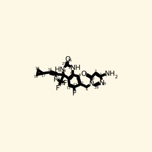 Nc1cc(=O)n(Cc2cc3c(cc2F)C(C#CC2CC2)(C(F)(F)F)NC(=O)N3)cn1